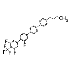 CCCCc1ccc(-c2ccc(-c3ccc(-c4cc(F)c(C(F)(F)F)c(F)c4)c(F)c3)cc2)cc1